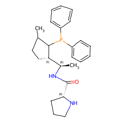 CC1CC[C@@H]([C@@H](C)NC(=O)[C@H]2CCCN2)C1P(c1ccccc1)c1ccccc1